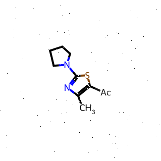 CC(=O)c1sc(N2CCCC2)nc1C